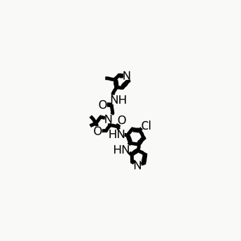 Cc1cnccc1CNC(=O)CN1CC(C)(C)OCC1C(=O)Nc1cc(Cl)cc2c1[nH]c1cnccc12